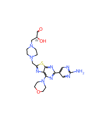 Nc1ncc(-c2nc(N3CCOCC3)c3nc(CN4CCN(C[C@H](O)C=O)CC4)sc3n2)cn1